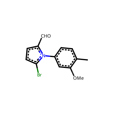 COc1cc(-n2c(Br)ccc2C=O)ccc1C